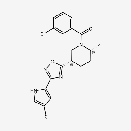 C[C@@H]1CC[C@H](c2nc(-c3cc(Cl)c[nH]3)no2)CN1C(=O)c1cccc(Cl)c1